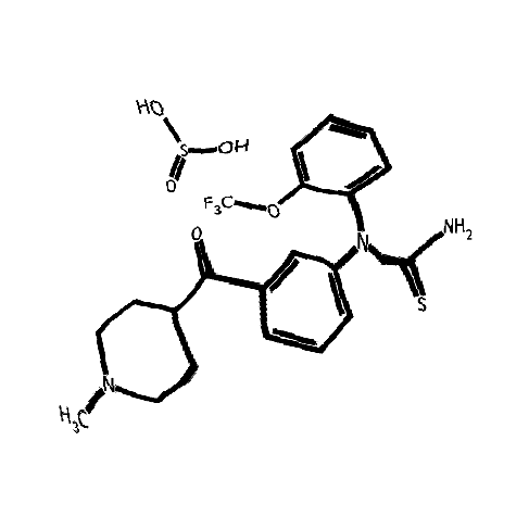 CN1CCC(C(=O)c2cccc(N(C(N)=S)c3ccccc3OC(F)(F)F)c2)CC1.O=S(O)O